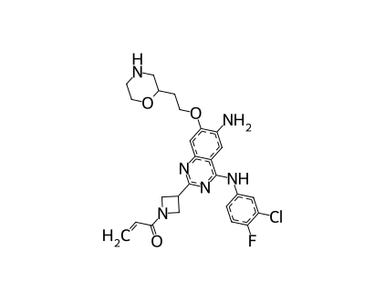 C=CC(=O)N1CC(c2nc(Nc3ccc(F)c(Cl)c3)c3cc(N)c(OCCC4CNCCO4)cc3n2)C1